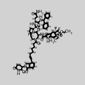 CCOP(=O)(OCC)C(F)(F)c1ccc2[nH]c(C(=O)N[C@H]3CN(C(=O)CCCCCC#Cc4cccc5c4CN(C4CCC(=O)NC4=O)C5=O)CC[C@H]4CC[C@@H](C(=O)N[C@@H](CCC(N)=O)C(=O)NC(c5ccccc5)c5ccccc5)N4C3=O)cc2c1